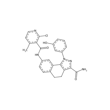 Cc1ccnc(Cl)c1C(=O)Nc1ccc2c(c1)-c1c(c(C(N)=O)nn1-c1cccc(O)c1)CC2